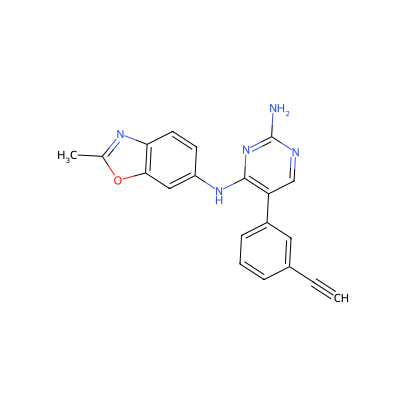 C#Cc1cccc(-c2cnc(N)nc2Nc2ccc3nc(C)oc3c2)c1